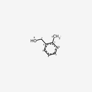 [CH2]c1ncccc1CO